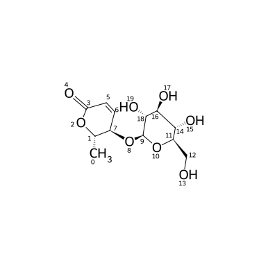 C[C@@H]1OC(=O)C=C[C@H]1O[C@@H]1O[C@H](CO)[C@@H](O)[C@H](O)[C@H]1O